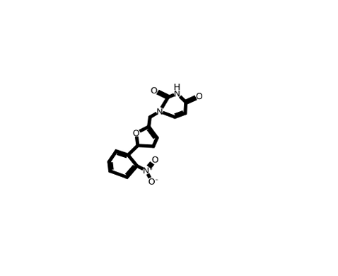 O=c1ccn(CC2=CCC(c3ccccc3[N+](=O)[O-])O2)c(=O)[nH]1